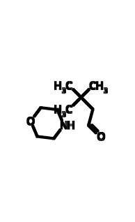 C1COCCN1.CC(C)(C)CC=O